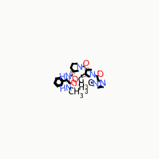 CC[C@@H]1CN(C(=O)c2nccn2C)C[C@H]1C(=O)N1CCC[C@@H](C(=O)N[C@H](C(=O)NC)c2ccccc2)C1